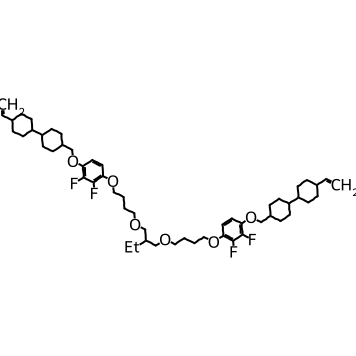 C=CC1CCC(C2CCC(COc3ccc(OCCCCOCC(CC)COCCCCOc4ccc(OCC5CCC(C6CCC(C=C)CC6)CC5)c(F)c4F)c(F)c3F)CC2)CC1